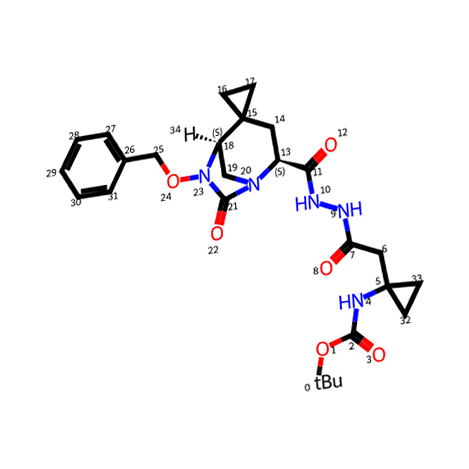 CC(C)(C)OC(=O)NC1(CC(=O)NNC(=O)[C@@H]2CC3(CC3)[C@H]3CN2C(=O)N3OCc2ccccc2)CC1